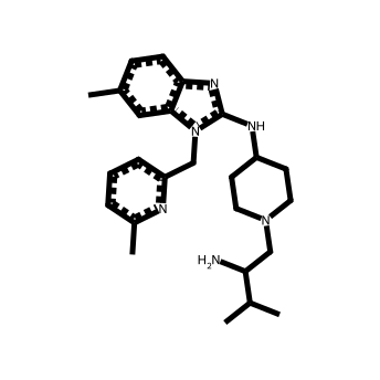 Cc1ccc2nc(NC3CCN(CC(N)C(C)C)CC3)n(Cc3cccc(C)n3)c2c1